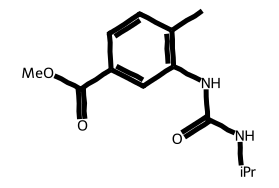 COC(=O)c1ccc(C)c(NC(=O)NC(C)C)c1